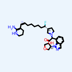 NC1=C(/C=C\CCCCCC(F)[C@@H]2CCN(C(C(=O)O)c3cccc4cnn([C@@H]5CCOC5)c34)C2)CCCN1